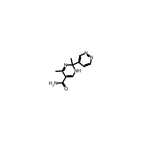 CC1=NC(C)(c2ccnnc2)NC=C1C(N)=O